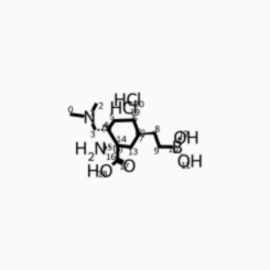 CN(C)C[C@@H]1CC[C@@H](CCB(O)O)C[C@@]1(N)C(=O)O.Cl.Cl